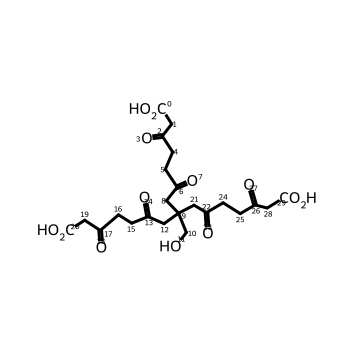 O=C(O)CC(=O)CCC(=O)CC(CO)(CC(=O)CCC(=O)CC(=O)O)CC(=O)CCC(=O)CC(=O)O